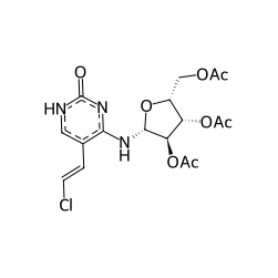 CC(=O)OC[C@H]1O[C@@H](Nc2nc(=O)[nH]cc2C=CCl)[C@H](OC(C)=O)[C@H]1OC(C)=O